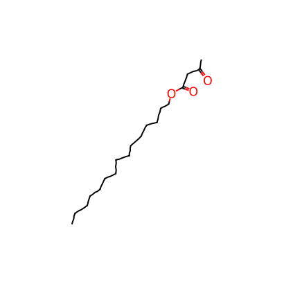 CCCCCCCCCCCCCCCOC(=O)CC(C)=O